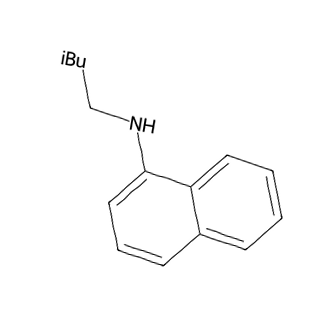 CCC(C)CNc1cccc2ccccc12